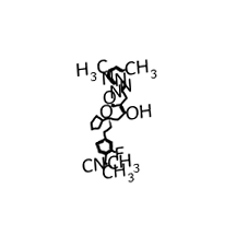 [C-]#[N+]C(C)(C)c1ccc(CC[C@]2(C3CCCC3)CC(O)=C(Cc3nc4nc(C)cc(C)n4n3)C(=O)O2)cc1F